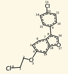 ClCCOc1ccc2c(-c3ccc(Cl)cc3)coc2c1